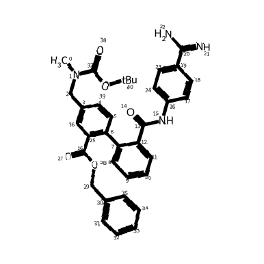 CN(Cc1ccc(-c2ccccc2C(=O)Nc2ccc(C(=N)N)cc2)c(C(=O)OCc2ccccc2)c1)C(=O)OC(C)(C)C